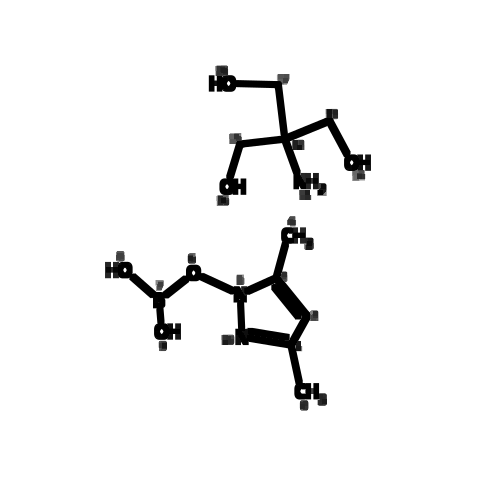 Cc1cc(C)n(OB(O)O)n1.NC(CO)(CO)CO